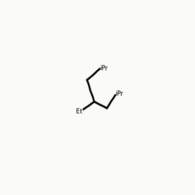 CCC(CC(C)C)CC(C)C